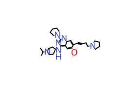 COc1cc2c(NC3CCN(C(C)C)CC3)nc(N3CCCCC3)nc2cc1C#CCCN1CCCC1